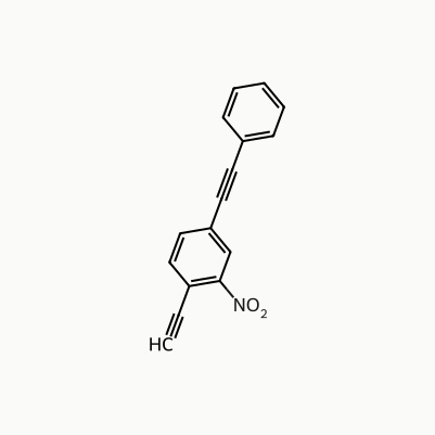 C#Cc1ccc(C#Cc2ccccc2)cc1[N+](=O)[O-]